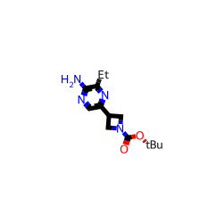 CCc1nc(C2CN(C(=O)OC(C)(C)C)C2)cnc1N